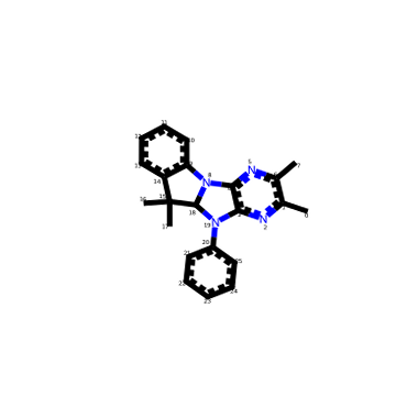 Cc1nc2c(nc1C)N1c3ccccc3C(C)(C)C1N2c1ccccc1